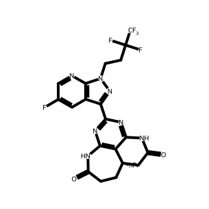 CCC[C@@]12CCC(=O)Nc3nc(-c4nn(CCC(F)(F)C(F)(F)F)c5ncc(F)cc45)nc(c31)NC(=O)C2